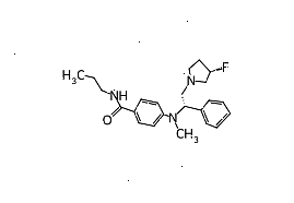 CCCNC(=O)c1ccc(N(C)[C@H](CN2CC[C@@H](F)C2)c2ccccc2)cc1